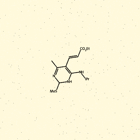 CCOC(=O)/C=C/C1=C(NC(C)C)NC(SC)N=C1C